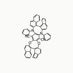 N#Cc1c2oc3ccc4ccccc4c3c3c(ccc4ccccc43)oc2c(C#N)c2c1n(-c1ccccc1)c1ccc3ccccc3c1c1c3ccccc3ccc1n2-c1ccccc1